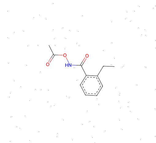 CCc1ccccc1C(=O)NOC(C)=O